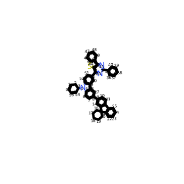 C1=CCC(n2c3ccc(-c4ccc5c(c4)C4(CCCCC4)c4ccccc4-5)cc3c3cc(-c4nc(-c5ccccc5)nc5c4sc4ccccc45)ccc32)C=C1